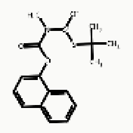 CN(C(=O)Oc1cccc2ccccc12)[S+]([O-])SC(C)(C)C